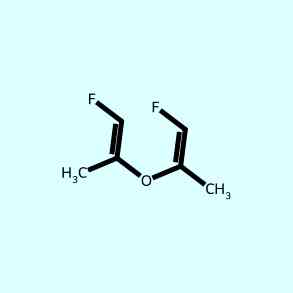 CC(=CF)OC(C)=CF